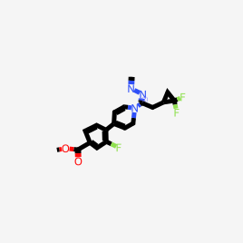 C=N/N=C(/CC1CC1(F)F)N1C=CC(c2ccc(C(=O)OC)cc2F)=CC1